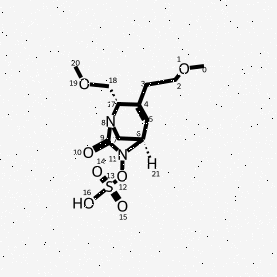 COCCC1=C[C@@H]2CN(C(=O)N2OS(=O)(=O)O)[C@@H]1COC